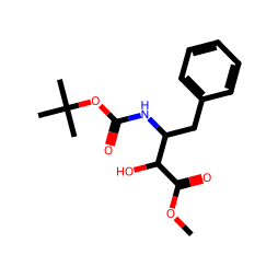 COC(=O)C(O)C(Cc1ccccc1)NC(=O)OC(C)(C)C